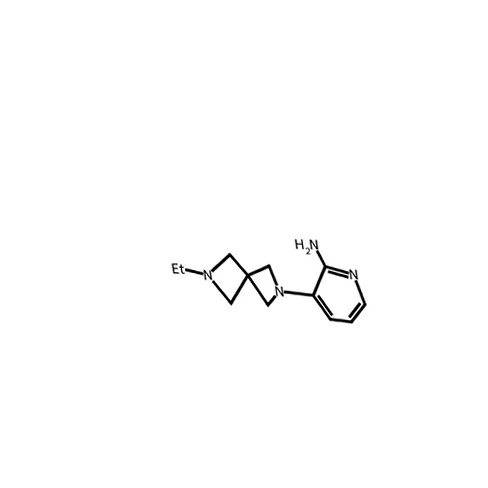 CCN1CC2(C1)CN(c1cccnc1N)C2